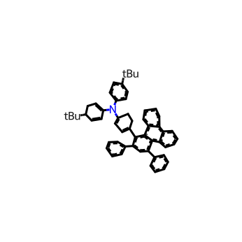 CC(C)(C)c1ccc(N(C2=CCC(C(C)(C)C)C=C2)C2=CC=C(c3c(-c4ccccc4)cc(-c4ccccc4)c4c5ccccc5c5ccccc5c34)CC2)cc1